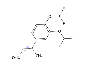 C/C(=[C]\C=O)c1ccc(OC(F)F)c(OC(F)F)c1